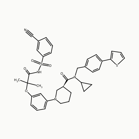 CC(C)(Oc1cccc(N2CCC[C@H](C(=O)N(Cc3ccc(-c4cccs4)cc3)C3CC3)C2)c1)C(=O)NS(=O)(=O)c1cccc(C#N)c1